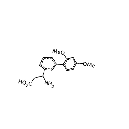 COc1ccc(-c2cccc(C(N)CC(=O)O)c2)c(OC)c1